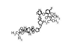 CC(C)N(C(=O)c1cc(F)ccc1Oc1cncnc1N1CC2(CCN(C[C@H]3CCN(S(=O)(=O)N4C[C@@H]5C[C@H]4CN5C(=O)OC(C)(C)C)C3)CC2)C1)C(C)C